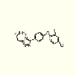 C[C@H](N)Cn1nnc(-c2ccc(Oc3ncc(Cl)cc3F)cc2)n1